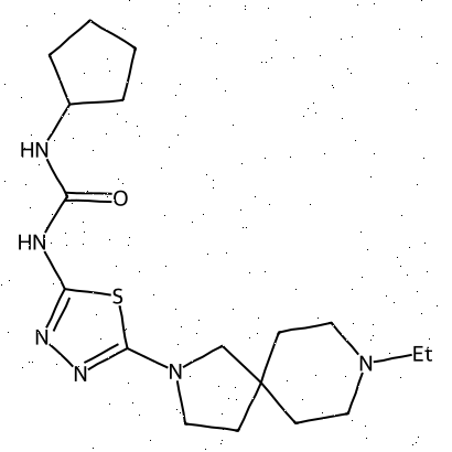 CCN1CCC2(CC1)CCN(c1nnc(NC(=O)NC3CCCC3)s1)C2